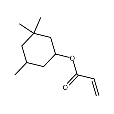 C=CC(=O)OC1CC(C)CC(C)(C)C1